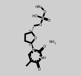 CCCCOP(=O)(O)OC[C@H]1CC[C@H](n2cc(C)c(=O)[nH]c2=O)O1.N